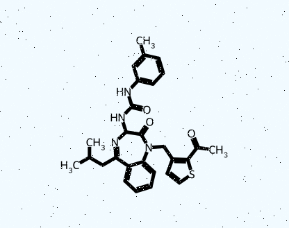 CC(=O)c1sccc1CN1C(=O)C(NC(=O)Nc2cccc(C)c2)N=C(CC(C)C)c2ccccc21